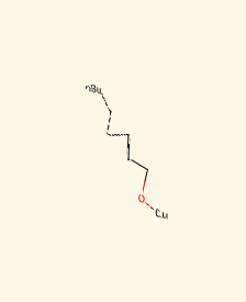 CCCCCCCCC[O][Cu]